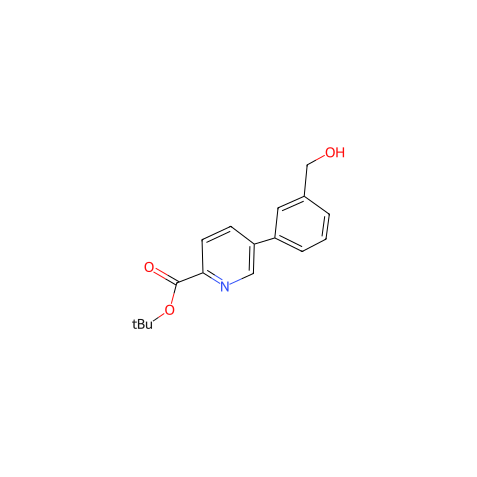 CC(C)(C)OC(=O)c1ccc(-c2cccc(CO)c2)cn1